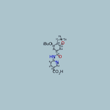 CC(C)COc1cc(C(=O)Nc2ccc(C(=O)O)cn2)cc2c1CC(C)(C)O2